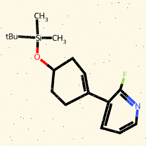 CC(C)(C)[Si](C)(C)OC1CC=C(c2cccnc2F)CC1